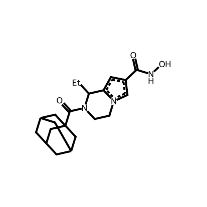 CCC1c2cc(C(=O)NO)cn2CCN1C(=O)C12CC3CC(CC(C3)C1)C2